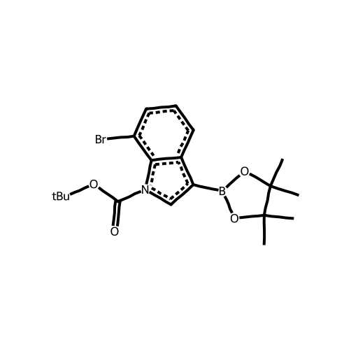 CC(C)(C)OC(=O)n1cc(B2OC(C)(C)C(C)(C)O2)c2cccc(Br)c21